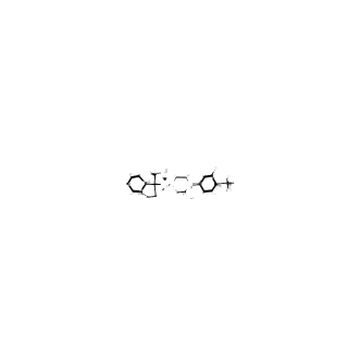 C[C@H]1CN(S(=O)(=O)C2(C(=O)O)CCc3ccccc32)CCN1c1ccc(C(F)(F)F)c(F)c1